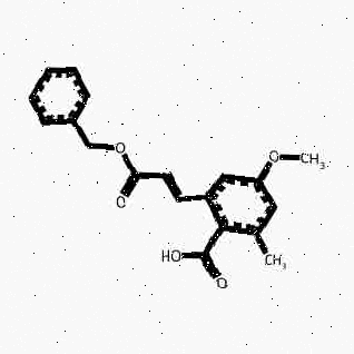 COc1cc(C)c(C(=O)O)c(C=CC(=O)OCc2ccccc2)c1